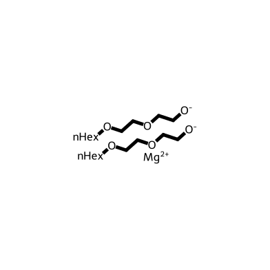 CCCCCCOCCOCC[O-].CCCCCCOCCOCC[O-].[Mg+2]